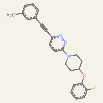 CC(=O)Oc1cccc(C#Cc2ccc(N3CCC(Oc4ccccc4F)CC3)nn2)c1